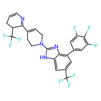 Fc1cc(-c2cc(C(F)(F)F)cc3[nH]c(N4CC=C(C5=NC=CCC5C(F)(F)F)CC4)nc23)cc(F)c1F